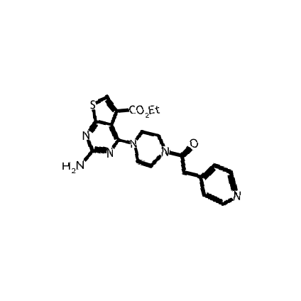 CCOC(=O)c1csc2nc(N)nc(N3CCN(C(=O)Cc4ccncc4)CC3)c12